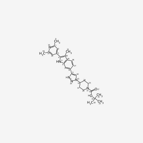 Cc1cc(-c2[nH]c3cc(-c4cn(C5CCN(C(=O)OC(C)(C)C)CC5)nn4)ccc3c2C)cc(C)n1